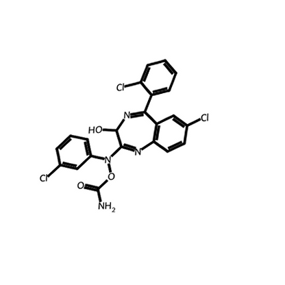 NC(=O)ON(C1=Nc2ccc(Cl)cc2C(c2ccccc2Cl)=NC1O)c1cccc(Cl)c1